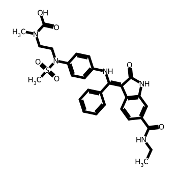 CCNC(=O)c1ccc2c(c1)NC(=O)/C2=C(\Nc1ccc(N(CCN(C)C(=O)O)S(C)(=O)=O)cc1)c1ccccc1